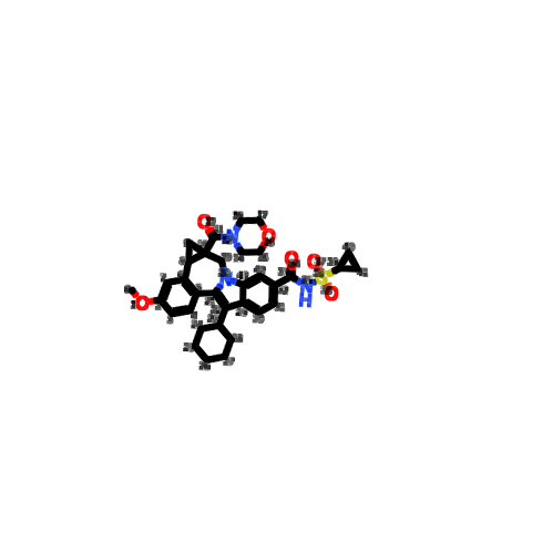 COc1ccc2c(c1)C1CC1(C(=O)N1CCOCC1)Cn1c-2c(C2CCCCC2)c2ccc(C(=O)NS(=O)(=O)C3CC3)cc21